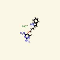 CCc1nc(N)nc(N)c1OCCCc1cc2ccccc2[nH]1.Cl